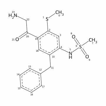 CSc1cc(NS(C)(=O)=O)c(Cc2ccccc2)cc1C(=O)CN